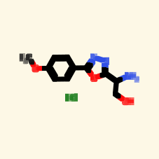 Cl.NC(CO)c1nnc(-c2ccc(OC(F)(F)F)cc2)o1